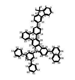 CC1(C)c2ccccc2-c2cc(-c3ccc4c(c3)c3ccccc3c3cc5c(cc43)c3cc(-c4cccc6ccccc46)ccc3n5-c3cc(-c4ccccc4)nc(-c4ccccc4)c3)ccc21